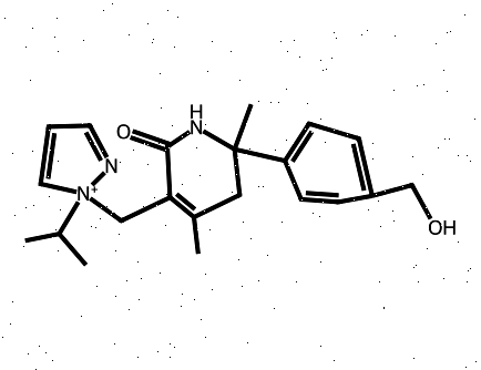 CC1=C(C[N+]2(C(C)C)C=CC=N2)C(=O)NC(C)(c2ccc(CO)cc2)C1